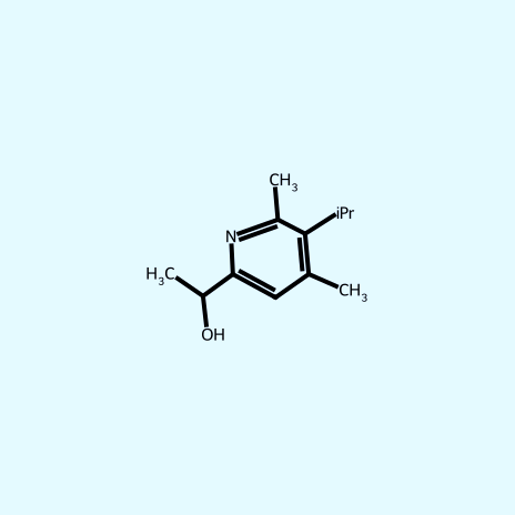 Cc1cc(C(C)O)nc(C)c1C(C)C